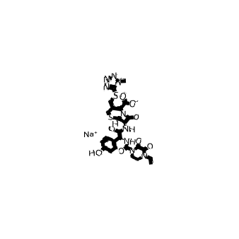 CCN1CCN(C(=O)N[C@@H](C(=O)N[C@@H]2C(=O)N3C(C(=O)[O-])=C(CSc4nnnn4C)CS[C@H]23)c2ccc(O)cc2)C(=O)C1=O.[Na+]